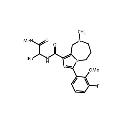 CNC(=O)C(NC(=O)c1nc(-c2cccc(F)c2OC)n2c1CN(C)CCC2)C(C)(C)C